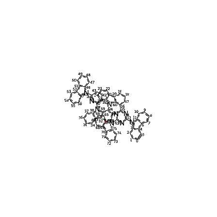 c1ccc2c(c#1)c1ccccc1n2-c1nc(-c2cccc3c4ccccc4n(-c4cccc5c6ccccc6n(-c6cccc(-n7c8ccccc8c8ccccc87)n6)c45)c23)nc(-n2c3ccccc3c3ccccc32)n1